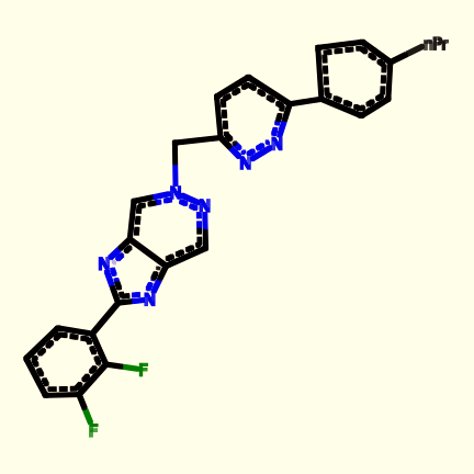 CCCc1ccc(-c2ccc(Cn3cc4nc(-c5cccc(F)c5F)nc-4cn3)nn2)cc1